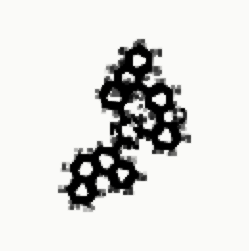 c1ccc(-c2nc(-c3cc4ccc5ccccc5c4c4ccccc34)nc(-c3cccc4oc5ccc(-c6cccc7ccccc67)cc5c34)n2)cc1